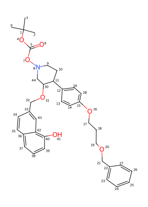 CC(C)(C)OC(=O)ON1CCC(c2ccc(OCCCOCc3ccccc3)cc2)C(OCc2ccc3cccc(O)c3c2)C1